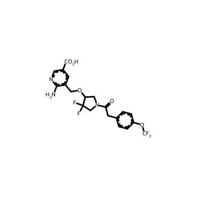 Nc1ncc(C(=O)O)cc1COC1CN(C(=O)Cc2ccc(OC(F)(F)F)cc2)CC1(F)F